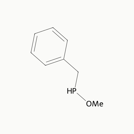 COPCc1ccccc1